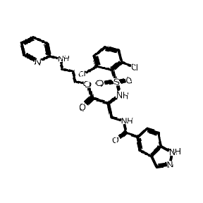 O=C(NCC(NS(=O)(=O)c1c(Cl)cccc1Cl)C(=O)OCCCNc1ccccn1)c1ccc2[nH]ncc2c1